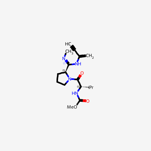 C#CC(=C)N/C(=N\C)[C@@H]1CCCN1C(=O)[C@@H](NC(=O)OC)C(C)C